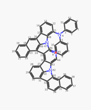 c1ccc(N(c2ccccc2)c2cccc3c4cc5ccccc5c5c6c7c8cccc9c%10ccc%11ccccc%11c%10n(c7cnc6n(c23)c45)c98)cc1